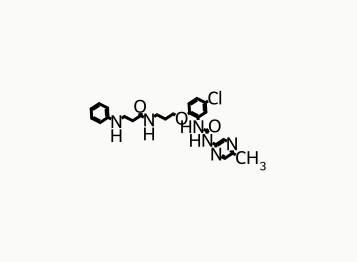 Cc1cnc(NC(=O)Nc2cc(Cl)ccc2OCCCNC(=O)CCNc2ccccc2)cn1